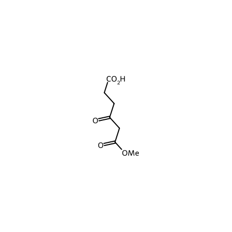 COC(=O)CC(=O)CCC(=O)O